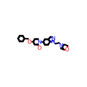 O=c1cc(OCc2ccccc2)ccn1-c1ccc2c(cnn2CCN2CC3CC2CO3)c1